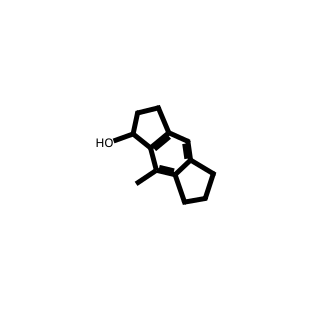 Cc1c2c(cc3c1C(O)CC3)CCC2